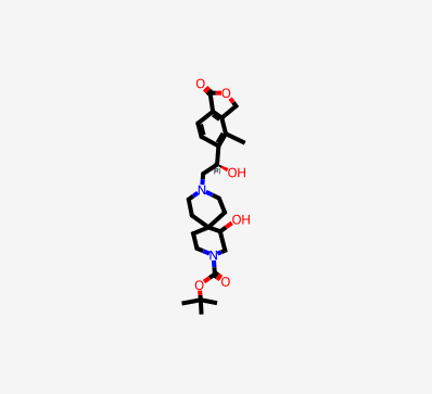 Cc1c([C@@H](O)CN2CCC3(CC2)CCN(C(=O)OC(C)(C)C)CC3O)ccc2c1COC2=O